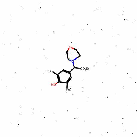 CCOC(=O)C(c1cc(C(C)(C)C)c(O)c(C(C)(C)C)c1)N1CCOCC1